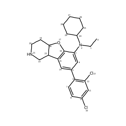 CCN(c1cc(-c2ccc(Cl)cc2Cl)cc2c1OC1CCNCC21)C1CCCCC1